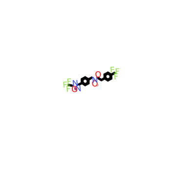 CON(Cc1ccc(-c2noc(C(F)(F)F)n2)cc1)C(=O)Cc1ccc(C(F)(F)F)cc1